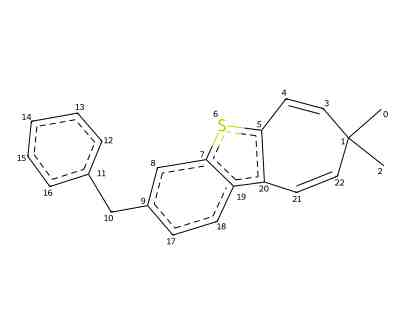 CC1(C)C=Cc2sc3cc(Cc4ccccc4)ccc3c2C=C1